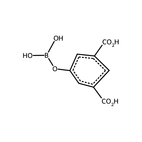 O=C(O)c1cc(OB(O)O)cc(C(=O)O)c1